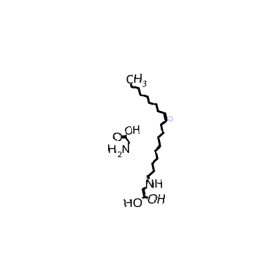 CCCCCCCC/C=C\CCCCCCCCCNCC(O)O.NCC(=O)O